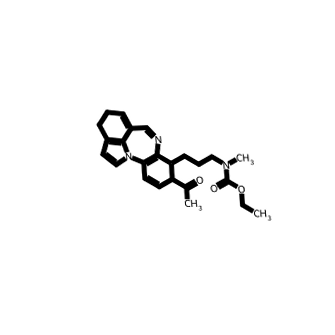 CCOC(=O)N(C)CCCC1C2=C(C=CC1C(C)=O)n1ccc3c1C(=CCC3)C=N2